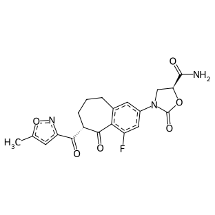 Cc1cc(C(=O)[C@@H]2CCCc3cc(N4C[C@@H](C(N)=O)OC4=O)cc(F)c3C2=O)no1